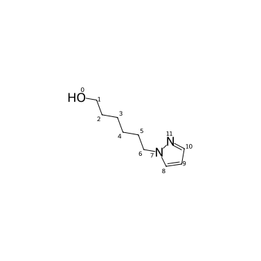 OCCCCCCn1cccn1